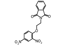 O=C1c2ccccc2C(=O)N1CCOc1ccc([N+](=O)[O-])cc1[N+](=O)[O-]